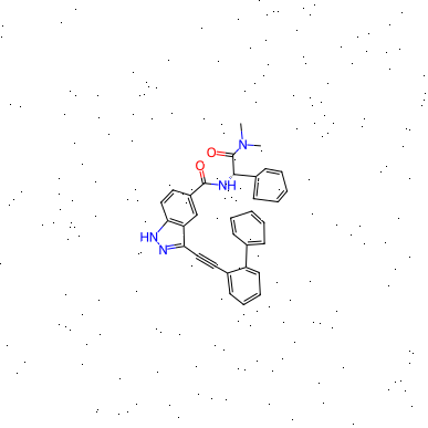 CN(C)C(=O)[C@@H](NC(=O)c1ccc2[nH]nc(C#Cc3ccccc3-c3ccccc3)c2c1)c1ccccc1